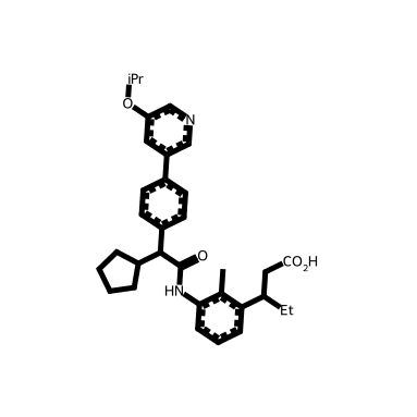 CCC(CC(=O)O)c1cccc(NC(=O)C(c2ccc(-c3cncc(OC(C)C)c3)cc2)C2CCCC2)c1C